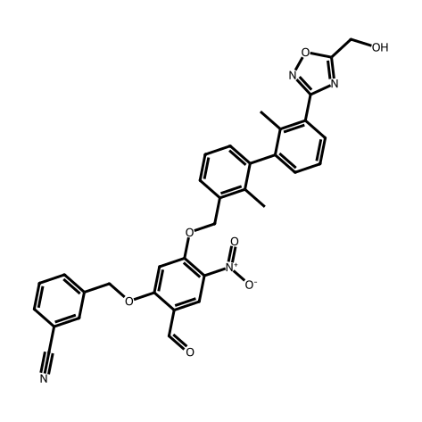 Cc1c(COc2cc(OCc3cccc(C#N)c3)c(C=O)cc2[N+](=O)[O-])cccc1-c1cccc(-c2noc(CO)n2)c1C